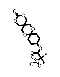 O=C1OCC2(CO1)COC1(CCC(OC(=O)C(F)(F)S(=O)(=O)O)CC1)OC2